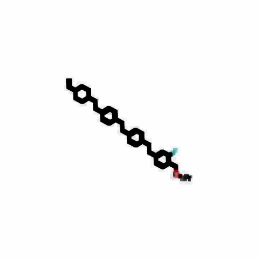 C=CC1CCC(CCc2ccc(CCc3ccc(CCc4ccc(COCCC)c(F)c4)cc3)cc2)CC1